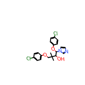 CC(C)(COc1ccc(Cl)cc1)C(O)C(Oc1ccc(Cl)cc1)n1ccnc1